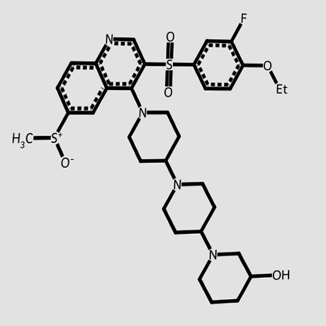 CCOc1ccc(S(=O)(=O)c2cnc3ccc([S+](C)[O-])cc3c2N2CCC(N3CCC(N4CCCC(O)C4)CC3)CC2)cc1F